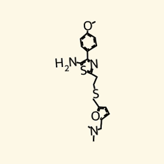 COc1ccc(-c2nc(CCSCc3ccc(CN(C)C)o3)sc2N)cc1